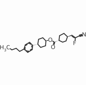 CCCCc1ccc([C@H]2CC[C@H](OC(=O)[C@H]3CC[C@H](C=C(F)C#N)CC3)CC2)cc1